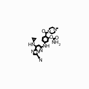 CN1CCN(C(=O)c2ccc(Nc3cc(NC4CC4)c4ncc(C#N)n4n3)cc2OC(N)=O)CC1